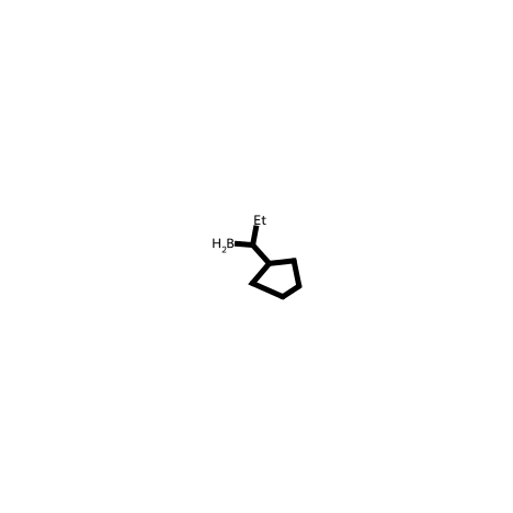 BC(CC)C1CCCC1